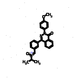 COc1ccc(-n2nc(-c3cccc(/C=[N+](\[O-])C(C)C)c3)c3ccccc3c2=O)cc1